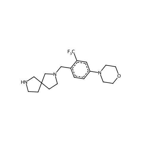 FC(F)(F)c1cc(N2CCOCC2)ccc1CN1CCC2(CCNC2)C1